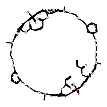 C=CC(=O)Oc1cc2ccc1C1=C(O)/C(=c3\cc/c(cc3OC(=O)C=C)=[N+](/C)CCOCc3cccc(c3)COCC/[N+](C)=c3\cc/c(c(OC(=O)C=C)c3)=C3/C(=O)C(=C3O)c3ccc(cc3OC(=O)C=C)N(C)CCOCc3cccc(c3)COCCN2C)C1=O